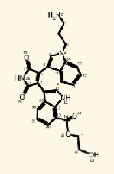 NCCCn1cc(C2=C(c3c[nH]c4c(C(=O)OCCO)cccc34)C(=O)NC2=O)c2ccccc21